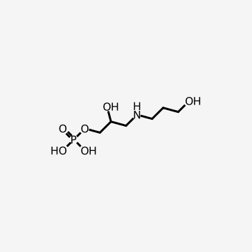 O=P(O)(O)OCC(O)CNCCCO